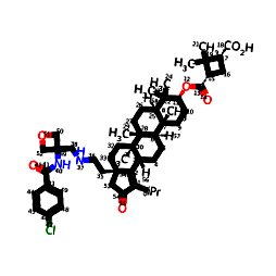 CC(C)C1=C2[C@H]3CC[C@@H]4[C@@]5(C)CC[C@H](OC(=O)[C@H]6C[C@@H](C(=O)O)C6(C)C)C(C)(C)[C@@H]5CC[C@@]4(C)[C@]3(C)CC[C@@]2(CCNCC2(NC(=O)c3ccc(Cl)cc3)COC2)CC1=O